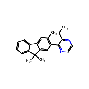 CCc1nccnc1-c1cc2c(cc1C)-c1ccccc1C2(C)C